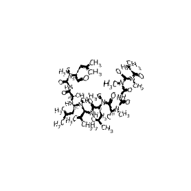 CNC(=O)N(C)C(=O)N(C)C(=O)NC(=O)N(C)[C@H](C)C(=O)N(C)[C@@H](CC(C)C)C(=O)NC(C(C)C)N(C)[C@@H](CC(C)C)N[C@H](C)C(=O)NC(=O)N(C)[C@H](C=O)CC(C)C